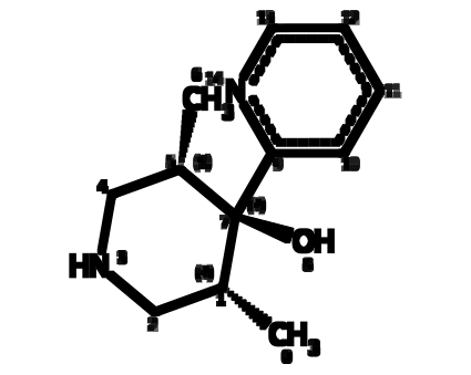 C[C@@H]1CNC[C@H](C)[C@]1(O)c1ccccn1